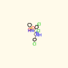 O=S(=O)(N[C@H](C1=NNC(c2ccc(Cl)cc2)C1)c1ccc(Cl)cc1Cl)c1ccccc1